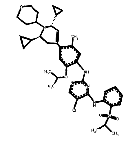 Cc1cc(Nc2ncc(Cl)c(Nc3ccccc3S(=O)(=O)C(C)C)n2)c(OC(C)C)cc1C1=C[C@@H](C2CC2)N(C2CCOCC2)[C@H](C2CC2)C1